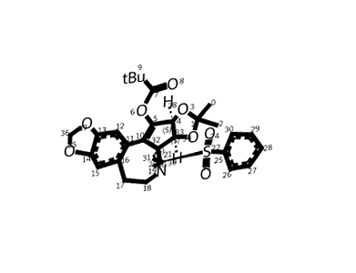 CC1(C)O[C@@H]2C(OC(=O)C(C)(C)C)=C3c4cc5c(cc4CCN4C[C@H](S(=O)(=O)c6ccccc6)C[C@@]34[C@@H]2O1)OCO5